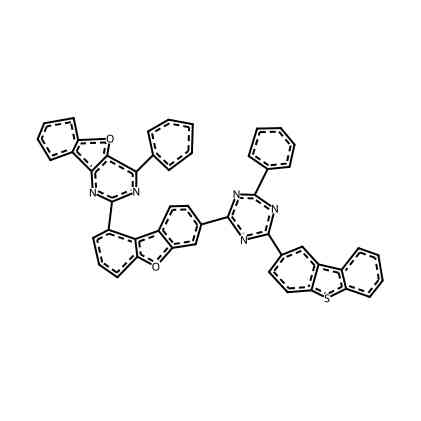 c1ccc(-c2nc(-c3ccc4c(c3)oc3cccc(-c5nc(-c6ccccc6)c6oc7ccccc7c6n5)c34)nc(-c3ccc4sc5ccccc5c4c3)n2)cc1